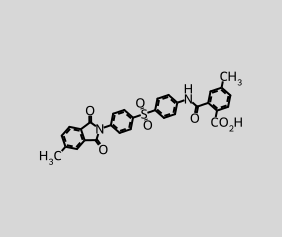 Cc1ccc(C(=O)O)c(C(=O)Nc2ccc(S(=O)(=O)c3ccc(N4C(=O)c5ccc(C)cc5C4=O)cc3)cc2)c1